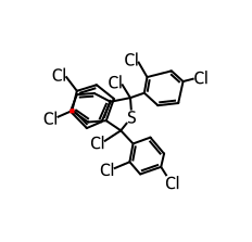 Clc1ccc(C(Cl)(SC(Cl)(c2ccc(Cl)cc2)c2ccc(Cl)cc2Cl)c2ccc(Cl)cc2Cl)cc1